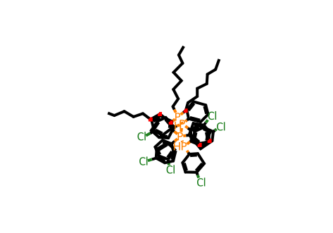 CCCCCCCC[PH](CCCCCCCC)(CCCCCCCC)P(c1ccccc1)(c1ccccc1)(c1ccccc1)P(c1cccc(Cl)c1)(c1cccc(Cl)c1)(c1cccc(Cl)c1)[PH](c1ccc(Cl)cc1)(c1ccc(Cl)cc1)c1ccc(Cl)cc1